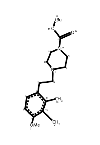 COc1ccc(CCN2CCN(C(=O)OC(C)(C)C)CC2)c(C)c1C